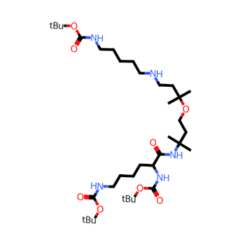 CC(C)(CCOC(C)(C)CCNCCCCCNC(=O)OC(C)(C)C)NC(=O)C(CCCCNC(=O)OC(C)(C)C)NC(=O)OC(C)(C)C